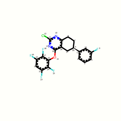 Fc1cccc([C@@H]2CCc3nc(Cl)nc(Oc4c(F)c(F)cc(F)c4F)c3C2)c1